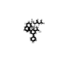 C=C(CC(C)C)CN(C)c1ccc2ccccc2c1Nc1c(C(C)C)cc(-c2ccccc2)cc1C(C)C